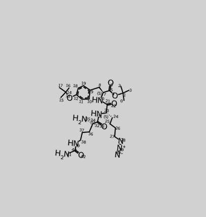 CC(C)(C)OC(=O)[C@H](Cc1ccc(OC(C)(C)C)cc1)NC(=O)[C@H](CCCCN=[N+]=[N-])NC(=O)[C@@H](N)CCCNC(N)=O